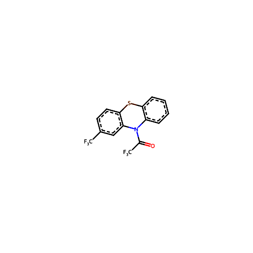 O=C(N1c2ccccc2Sc2ccc(C(F)(F)F)cc21)C(F)(F)F